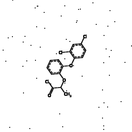 CC(Oc1ccccc1Oc1ccc(Cl)cc1Cl)C(=O)Cl